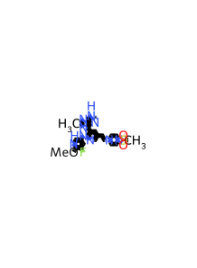 COc1ncc(Nc2ncc(CCN3CCN(S(C)(=O)=O)CC3)cc2-c2nc(C)nc3[nH]cnc23)cc1F